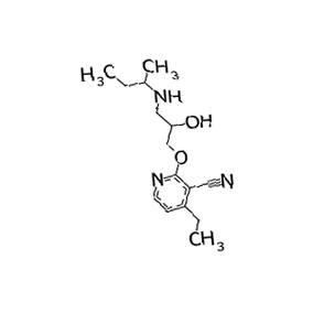 CCc1ccnc(OCC(O)CNC(C)CC)c1C#N